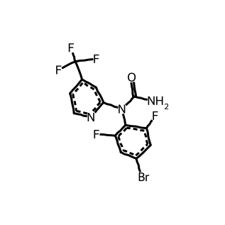 NC(=O)N(c1cc(C(F)(F)F)ccn1)c1c(F)cc(Br)cc1F